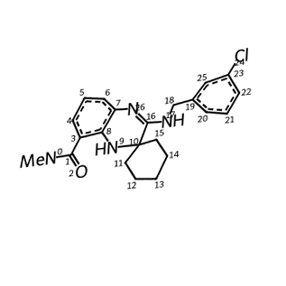 CNC(=O)c1cccc2c1NC1(CCCCC1)C(NCc1cccc(Cl)c1)=N2